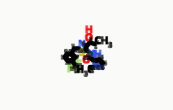 CCC(O)c1nc(Cc2cccc(C(F)(F)F)c2)sc1NC(=O)c1ccnn1C